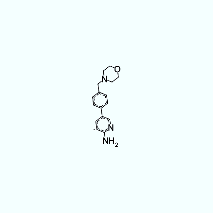 Nc1[c]cc(-c2ccc(CN3CCOCC3)cc2)cn1